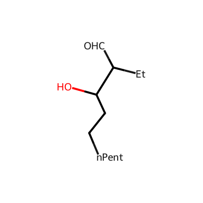 CCCCCCCC(O)C(C=O)CC